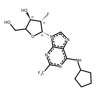 OCC1O[C@@H](n2cnc3c(NC4CCCC4)nc(C(F)(F)F)nc32)[C@@H](F)[C@@H]1O